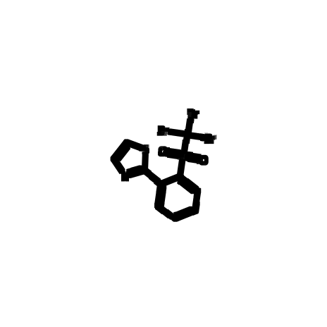 O=S(=O)(c1ccccc1-c1nccs1)C(Br)(Br)Br